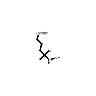 [CH2]CCNC(C)(C)CCCCCCCC